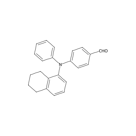 O=Cc1ccc(N(c2ccccc2)c2cccc3c2CCCC3)cc1